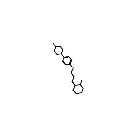 CC1CCC(c2ccc(OCCCC3CCCCC3C)cc2)CC1